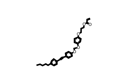 C=CC(=O)OCCCOc1ccc(OCOc2ccc(C#Cc3ccc(CCCCC)cc3)cc2)cc1